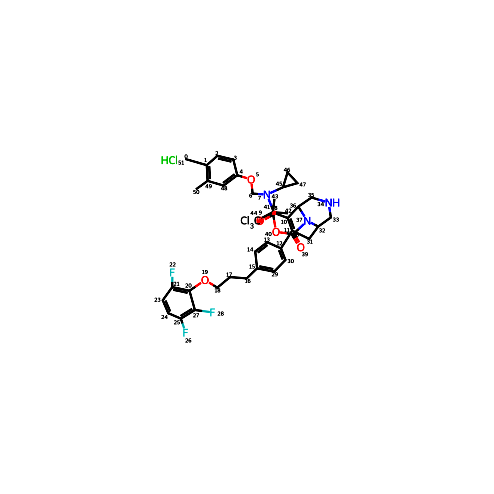 Cc1ccc(OCN(C(=O)C2=C(c3ccc(CCCOc4c(F)ccc(F)c4F)cc3)CC3CNCC2N3C(=O)OC(C)(C)C(Cl)(Cl)Cl)C2CC2)cc1C.Cl